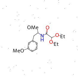 CCOC(OCC)C(=O)NC(Cc1cccc(OC)c1)OC